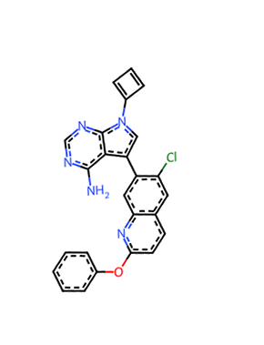 Nc1ncnc2c1c(-c1cc3nc(Oc4ccccc4)ccc3cc1Cl)cn2C1=CC=C1